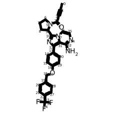 CC#CC(=O)N1CCCC1c1nc(-c2ccc(OCc3ccc(C(F)(F)F)cc3)cc2)c2c(N)nccn12